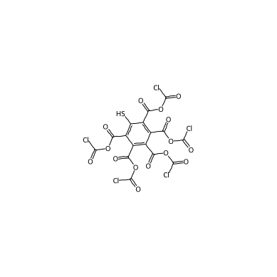 O=C(Cl)OC(=O)c1c(S)c(C(=O)OC(=O)Cl)c(C(=O)OC(=O)Cl)c(C(=O)OC(=O)Cl)c1C(=O)OC(=O)Cl